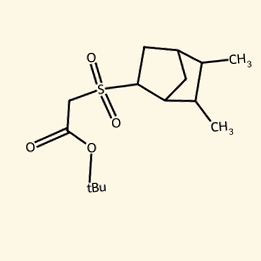 CC1C2CC(C1C)C(S(=O)(=O)CC(=O)OC(C)(C)C)C2